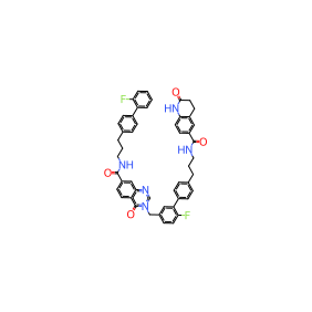 O=C1CCc2cc(C(=O)NCCCc3ccc(-c4cc(Cn5cnc6cc(C(=O)NCCCc7ccc(-c8ccccc8F)cc7)ccc6c5=O)ccc4F)cc3)ccc2N1